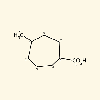 CC1CCCC(C(=O)O)CC1